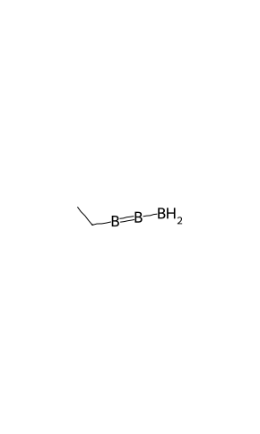 BB=BCC